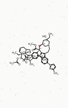 CC[C@]1(O)C[C@H]2CN(CCc3c([nH]c4ccc(-n5ccc(C)n5)cc34)[C@@](C(=O)OC)(c3cc4c(cc3OC)N(C)[C@@]35O[C@]3(C(=O)OC)[C@H](OC(C)=O)[C@]3(CC)C=CCN6CC[C@]45[C@@H]63)C2)C1